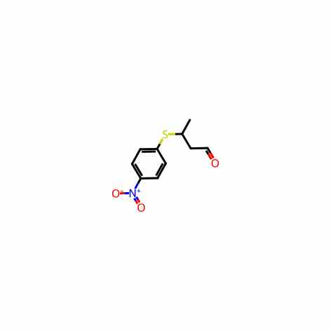 CC(CC=O)Sc1ccc([N+](=O)[O-])cc1